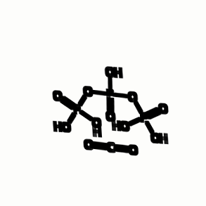 O=C=O.O=P(O)(O)OP(=O)(O)OP(=O)(O)O